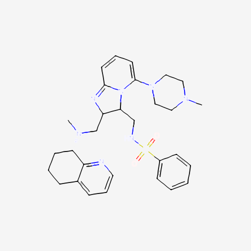 CN1CCN(C2=CC=CC3=NC(CN(C)[C@H]4CCCc5cccnc54)C(CNS(=O)(=O)c4ccccc4)N23)CC1